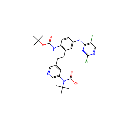 CC(C)(C)OC(=O)Nc1ccc(Nc2nc(Cl)ncc2F)cc1CCc1cncc(N(C(=O)O)C(C)(C)C)c1